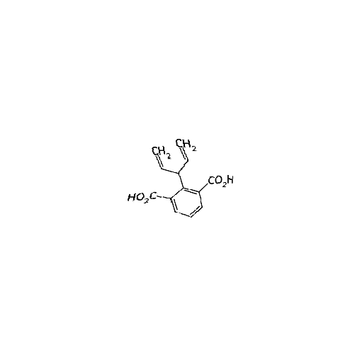 C=CC(C=C)c1c(C(=O)O)cccc1C(=O)O